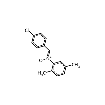 Cc1ccc(C)c([N+]([O-])=Cc2ccc(Cl)cc2)c1